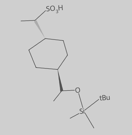 CC(O[Si](C)(C)C(C)(C)C)[C@H]1CC[C@H](C(C)S(=O)(=O)O)CC1